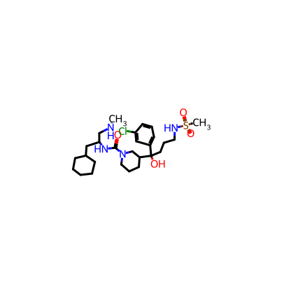 CNCC(CC1CCCCC1)NC(=O)N1CCCC(C(O)(CCCNS(C)(=O)=O)c2cccc(Cl)c2)C1